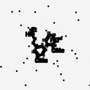 CCNCCc1cccc(OC)c1.COc1ccccc1.Cl